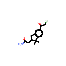 CC1(C)c2ccc(C(=O)CCl)cc2CC1CC(N)=O